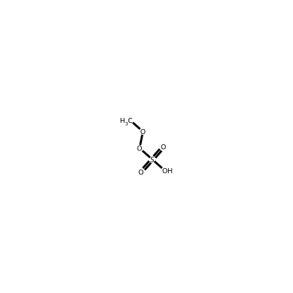 COOS(=O)(=O)O